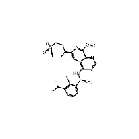 COc1nc(C2CCS(=O)(=O)CC2)cc2c(NC(C)c3cccc(C(F)F)c3F)ncnc12